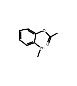 CPc1ccccc1OC(C)=O